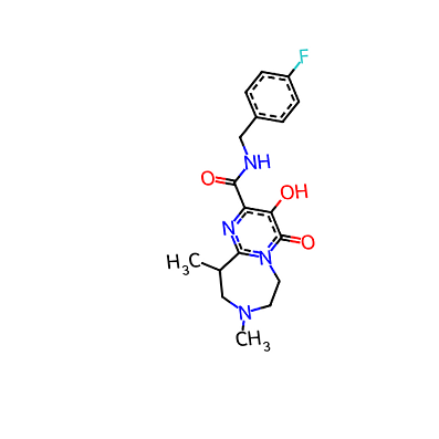 CC1CN(C)CCn2c1nc(C(=O)NCc1ccc(F)cc1)c(O)c2=O